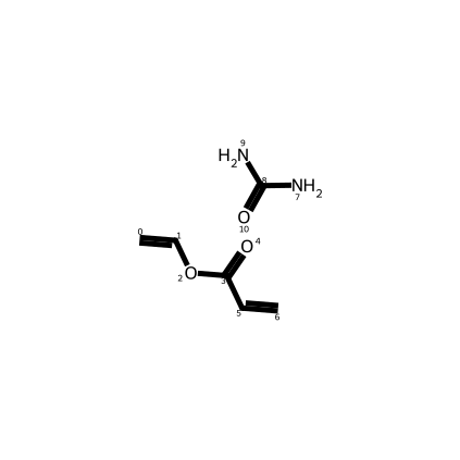 C=COC(=O)C=C.NC(N)=O